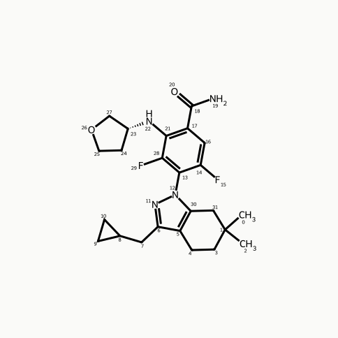 CC1(C)CCc2c(CC3CC3)nn(-c3c(F)cc(C(N)=O)c(N[C@@H]4CCOC4)c3F)c2C1